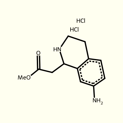 COC(=O)CC1NCCc2ccc(N)cc21.Cl.Cl